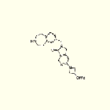 COC1CN(c2cc3c(cn2)C(=O)N(Cc2ccc4c(c2)CCNCC4)C3)C1